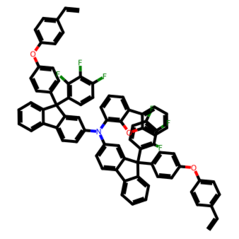 C=Cc1ccc(Oc2ccc(C3(c4ccc(F)c(F)c4F)c4ccccc4-c4ccc(N(c5ccc6c(c5)C(c5ccc(Oc7ccc(C=C)cc7)cc5)(c5ccc(F)c(F)c5F)c5ccccc5-6)c5cccc6c5oc5ccccc56)cc43)cc2)cc1